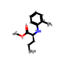 CCCOC(=O)[C@H](CCS(=O)(=O)O)Nc1ccccc1C